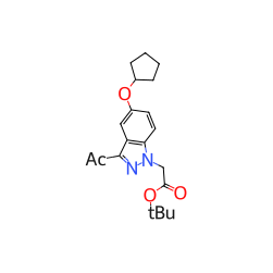 CC(=O)c1nn(CC(=O)OC(C)(C)C)c2ccc(OC3CCCC3)cc12